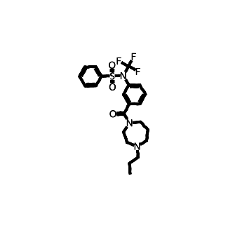 CCCN1CCCN(C(=O)c2cccc(N(C(F)(F)F)S(=O)(=O)c3ccccc3)c2)CC1